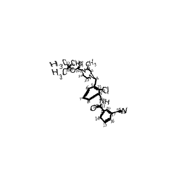 C[C@H]1CN(Cc2cccc(NC(=O)c3cccc(C#N)c3)c2Cl)CCN1C(=O)OC(C)(C)C